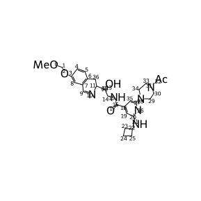 COCOc1ccc2c(c1)C=NC([C@H](O)CNC(=O)c1cc(NC3CCC3)nc(N3CCN(C(C)=O)CC3)c1)C2